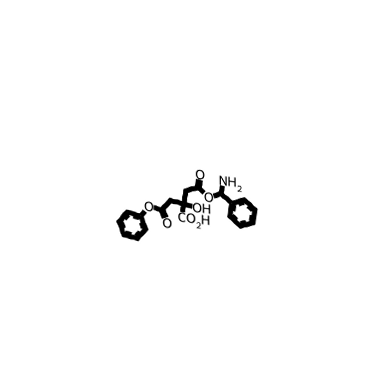 NC(OC(=O)CC(O)(CC(=O)Oc1ccccc1)C(=O)O)c1ccccc1